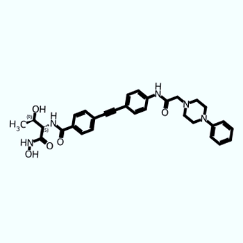 C[C@@H](O)[C@H](NC(=O)c1ccc(C#Cc2ccc(NC(=O)CN3CCN(c4ccccc4)CC3)cc2)cc1)C(=O)NO